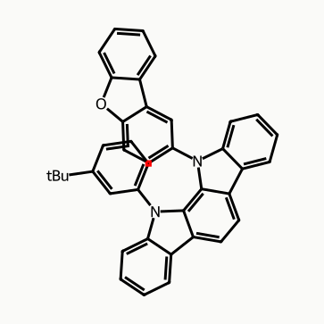 CC(C)(C)c1cccc(-n2c3ccccc3c3ccc4c5ccccc5n(-c5ccc6oc7ccccc7c6c5)c4c32)c1